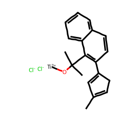 CC1=CCC(c2ccc3ccccc3c2C(C)(C)[O][Ti+2])=C1.[Cl-].[Cl-]